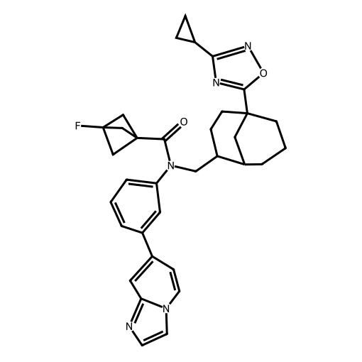 O=C(N(CC1CCC2(c3nc(C4CC4)no3)CCCC1C2)c1cccc(-c2ccn3ccnc3c2)c1)C12CC(F)(C1)C2